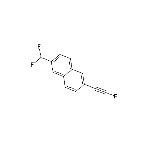 FC#Cc1ccc2cc([C](F)F)ccc2c1